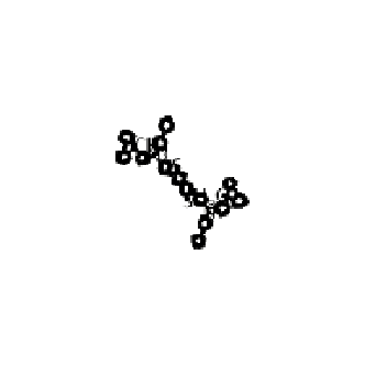 CC1(c2cccc(N(c3ccc(-c4ccccc4)cc3)c3ccc4c(c3)sc3cc5cc6c(cc5cc34)sc3cc(N(c4ccc(-c5ccccc5)cc4)c4cccc(C5(C)c7ccccc7-c7ccccc75)c4)ccc36)c2)c2ccccc2-c2ccccc21